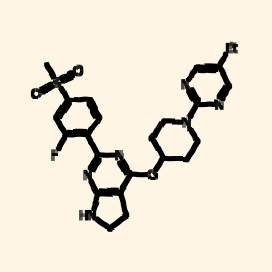 CCc1cnc(N2CCC(Oc3nc(-c4ccc(S(C)(=O)=O)cc4F)nc4c3CCN4)CC2)nc1